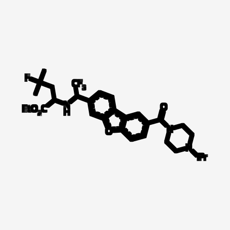 CCOC(=O)C(CC(C)(C)F)NC(c1ccc2c(c1)oc1ccc(C(=O)N3CCN(C(C)C)CC3)cc12)C(F)(F)F